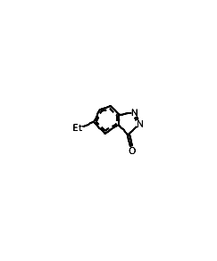 CCc1ccc2c(c1)C(=O)N=N2